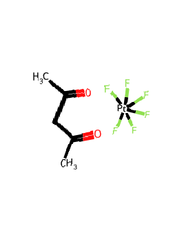 CC(=O)CC(C)=O.[F][Pt]([F])([F])([F])([F])[F]